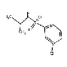 CC(C)NS(=O)(=O)c1cccc(Cl)c1